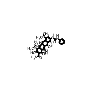 CN(C)c1cc(NC(=O)Nc2ccccc2)c(O)c2c1C[C@@H]1C[C@@H]3[C@@H](N(C)C)C(O)=C(C(N)=O)C(=O)[C@]3(O)C(O)=C1C2=O